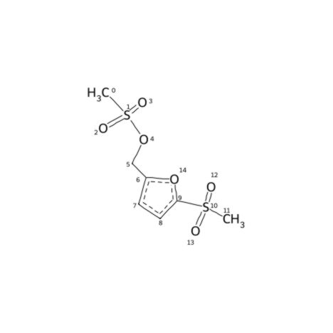 CS(=O)(=O)OCc1ccc(S(C)(=O)=O)o1